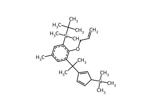 C=CCOc1c(C(C)(C)C2=CC([Si](C)(C)C)C=C2)cc(C)cc1[Si](C)(C)C(C)(C)C